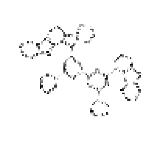 c1ccc(-c2cc(-c3nc(-c4ccccc4)nc(-c4cccc5sc6ccccc6c45)n3)cc(-n3c4ccccc4c4ccc5c6ccccc6sc5c43)c2)cc1